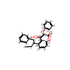 CCC(Cc1ccccc1)c1cccc2oc(=O)c(Oc3ccccc3)c(O)c12